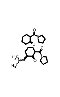 CN(C)C=C1CCCC(C(=O)N2CCCC2)C1=O.O=C1CCCCC1C(=O)N1CCCC1